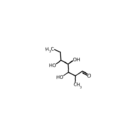 CCC(O)C(O)C(O)C(C)C=O